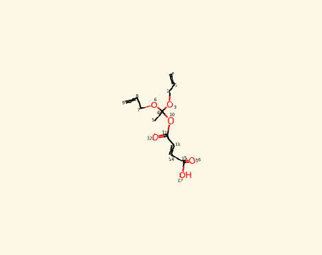 C=CCOC(C)(OCC=C)OC(=O)C=CC(=O)O